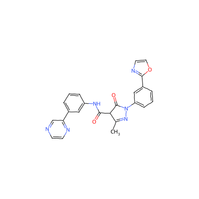 CC1=NN(c2cccc(-c3ncco3)c2)C(=O)C1C(=O)Nc1cccc(-c2cnccn2)c1